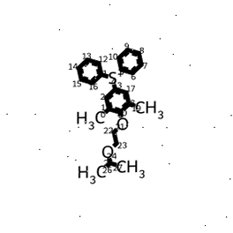 Cc1cc([S+](c2ccccc2)c2ccccc2)cc(C)c1OCCOC(C)C